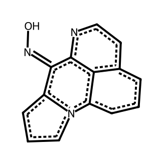 O/N=c1\c2nccc3cccc(c32)n2cccc12